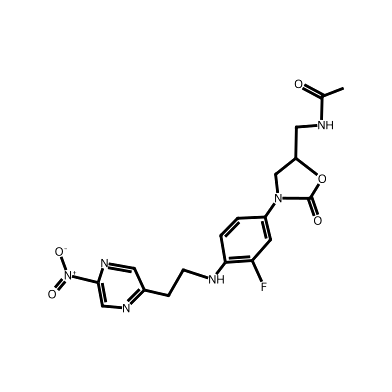 CC(=O)NCC1CN(c2ccc(NCCc3cnc([N+](=O)[O-])cn3)c(F)c2)C(=O)O1